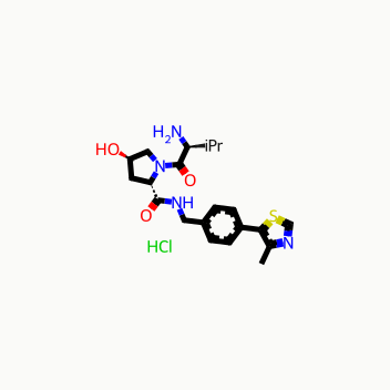 Cc1ncsc1-c1ccc(CNC(=O)[C@@H]2C[C@@H](O)CN2C(=O)[C@@H](N)C(C)C)cc1.Cl